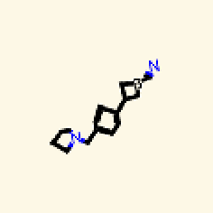 N#CB1CC(c2ccc(CN3CCCC3)cc2)C1